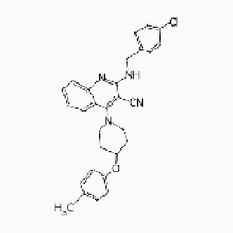 Cc1ccc(OC2CCN(c3c(C#N)c(NCc4ccc(Cl)cc4)nc4ccccc34)CC2)cc1